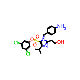 CC(C)c1nc(CCO)n(Cc2ccc(N)cc2)c1S(=O)(=O)Oc1cc(Cl)cc(Cl)c1